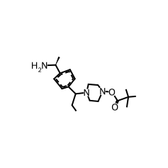 CCC(c1ccc([C@H](C)N)cc1)N1CCN(OC(=O)C(C)(C)C)CC1